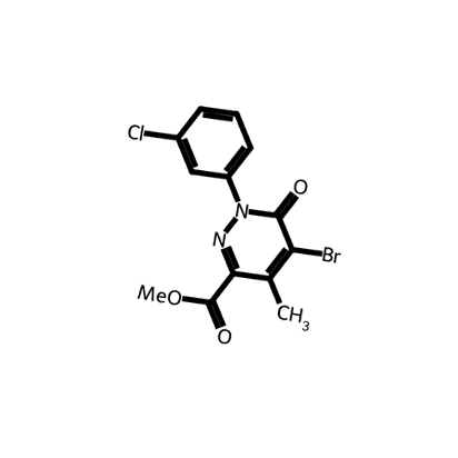 COC(=O)c1nn(-c2cccc(Cl)c2)c(=O)c(Br)c1C